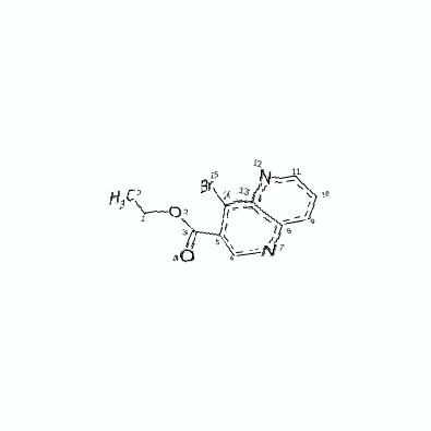 CCOC(=O)c1cnc2cccnc2c1Br